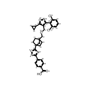 O=C(O)c1ccc(-c2noc(C34CCC(COCc5c(-c6c(Cl)cccc6Cl)noc5C5CC5)(CC3)C4)n2)cc1